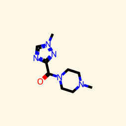 CN1CCN(C(=O)c2ncn(C)n2)CC1